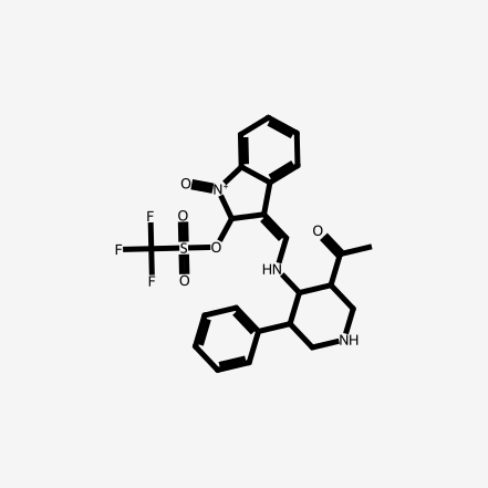 CC(=O)C1CNCC(c2ccccc2)C1NC=C1c2ccccc2[N+](=O)C1OS(=O)(=O)C(F)(F)F